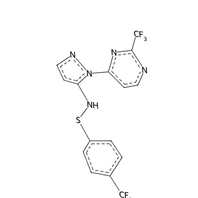 FC(F)(F)c1ccc(SNc2ccnn2-c2ccnc(C(F)(F)F)n2)cc1